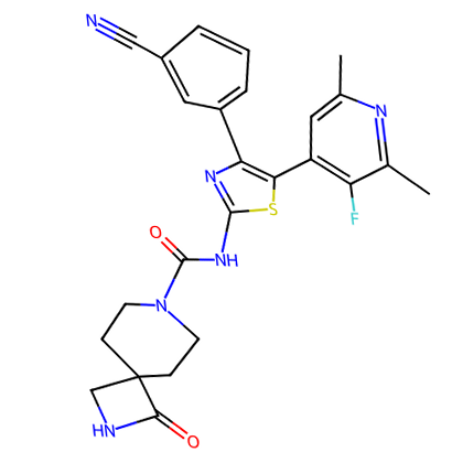 Cc1cc(-c2sc(NC(=O)N3CCC4(CC3)CNC4=O)nc2-c2cccc(C#N)c2)c(F)c(C)n1